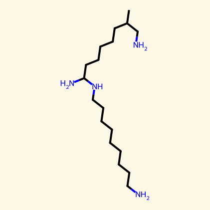 CC(CN)CCCCCC(N)NCCCCCCCCCN